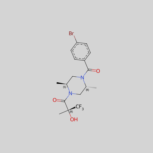 C[C@@H]1CN(C(=O)[C@@](C)(O)C(F)(F)F)[C@@H](C)CN1C(=O)c1ccc(Br)cc1